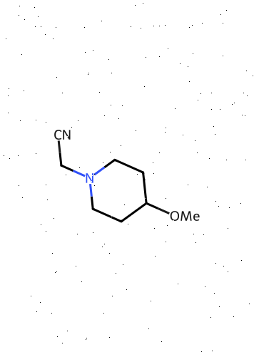 COC1CCN(CC#N)CC1